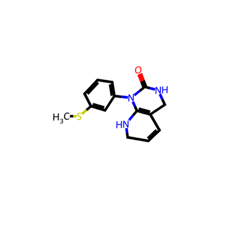 CSc1cccc(N2C(=O)NCC3=C2NCC=C3)c1